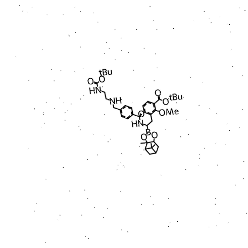 COc1c(CC(NC(=O)c2ccc(CNCCNC(=O)OC(C)(C)C)cc2)B2OC3CC4CC(C4(C)C)C3(C)O2)cccc1C(=O)OC(C)(C)C